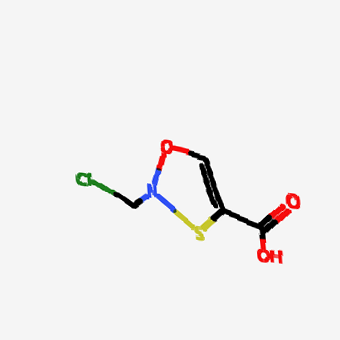 O=C(O)C1=CON(CCl)S1